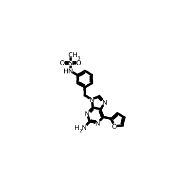 CS(=O)(=O)Nc1cccc(Cn2cnc3c(-c4ccco4)nc(N)nc32)c1